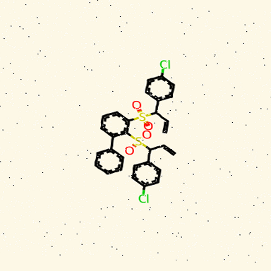 C=CC(c1ccc(Cl)cc1)S(=O)(=O)c1cccc(-c2ccccc2)c1S(=O)(=O)C(C=C)c1ccc(Cl)cc1